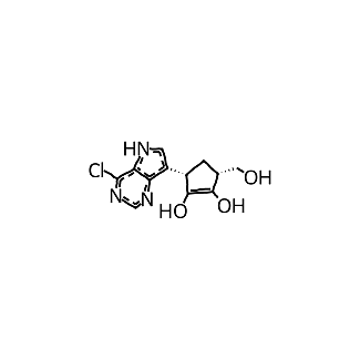 OC[C@H]1C[C@@H](c2c[nH]c3c(Cl)ncnc23)C(O)=C1O